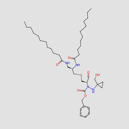 CCCCCCCCCCCC(=O)NC[C@H](CSC[C@@H](C=O)N(NC1(CO)CC1)C(=O)OCc1ccccc1)NC(=O)CCCCCCCCCCC